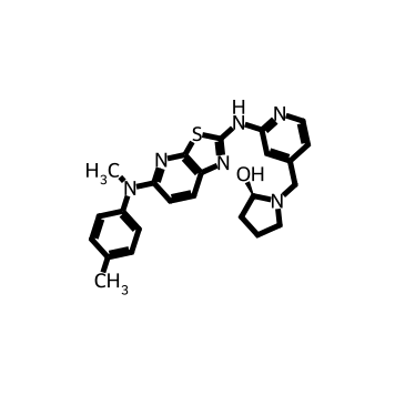 Cc1ccc(N(C)c2ccc3nc(Nc4cc(CN5CCC[C@H]5O)ccn4)sc3n2)cc1